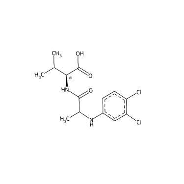 CC(Nc1ccc(Cl)c(Cl)c1)C(=O)N[C@H](C(=O)O)C(C)C